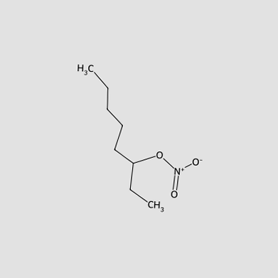 CCCCCC(CC)O[N+](=O)[O-]